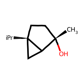 CC(C)[C@@]12CC[C@](C)(O)C1C2